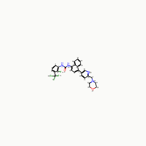 O=C(Nc1cccc(C(F)(F)F)c1F)Nc1ccc(-c2ccc(CN3CCOCC3)nc2)c2ccccc12